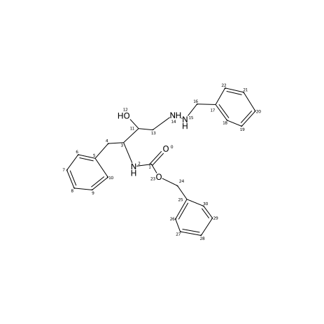 O=C(NC(Cc1ccccc1)C(O)CNNCc1ccccc1)OCc1ccccc1